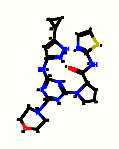 O=C(Nc1nccs1)C1CCCN1c1nc(Nc2cc(C3CC3)[nH]n2)nc(N2CCOCC2)n1